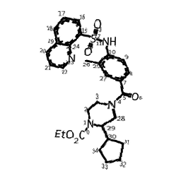 CCOC(=O)N1CCN(C(=O)c2ccc(NS(=O)(=O)c3cccc4cccnc34)c(C)c2)CC1C1CCCC1